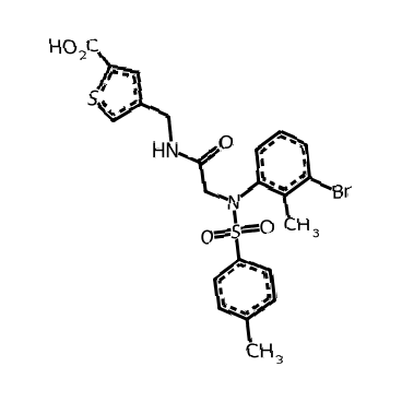 Cc1ccc(S(=O)(=O)N(CC(=O)NCc2csc(C(=O)O)c2)c2cccc(Br)c2C)cc1